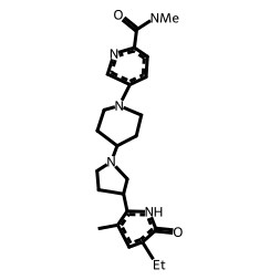 CCc1cc(C)c(C2CCN(C3CCN(c4ccc(C(=O)NC)nc4)CC3)C2)[nH]c1=O